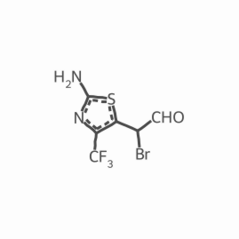 Nc1nc(C(F)(F)F)c(C(Br)C=O)s1